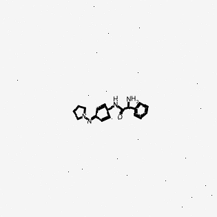 NC(C(=O)NC1C=CC(=NN2CCCC2)C=C1)c1ccccc1